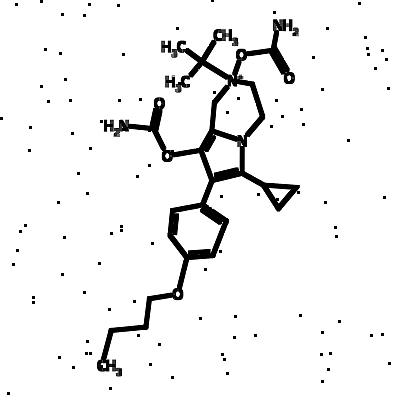 CCCCOc1ccc(-c2c(OC(N)=O)c3n(c2C2CC2)CC[N+](OC(N)=O)(C(C)(C)C)C3)cc1